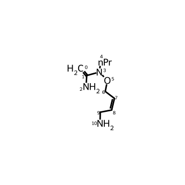 C=C(N)N(CCC)OC/C=C\CN